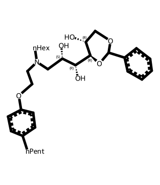 CCCCCCN(CCOc1ccc(CCCCC)cc1)C[C@H](O)[C@@H](O)[C@@H]1OC(c2ccccc2)OC[C@H]1O